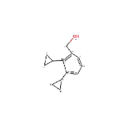 O[CH]c1cccc(C2CC2)c1C1CC1